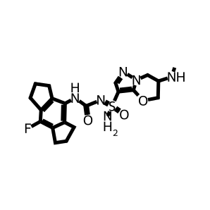 CNC1COc2c(S(N)(=O)=NC(=O)Nc3c4c(c(F)c5c3CCC5)CCC4)cnn2C1